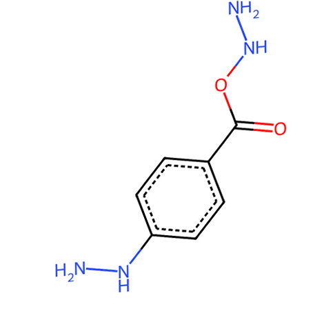 NNOC(=O)c1ccc(NN)cc1